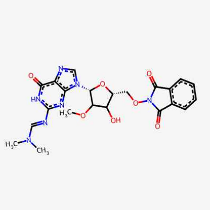 COC1C(O)[C@@H](CON2C(=O)c3ccccc3C2=O)O[C@H]1n1cnc2c(=O)[nH]c(N=CN(C)C)nc21